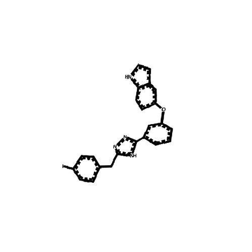 Ic1ccc(Cc2nnc(-c3cccc(Oc4ccc5[nH]ccc5c4)c3)[nH]2)cc1